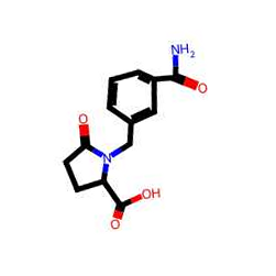 NC(=O)c1cccc(CN2C(=O)CCC2C(=O)O)c1